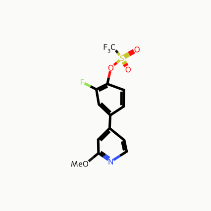 COc1cc(-c2ccc(OS(=O)(=O)C(F)(F)F)c(F)c2)ccn1